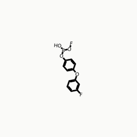 OB(OF)Oc1ccc(Oc2cccc(F)c2)cc1